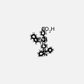 O=C(N[C@H](Cc1ccc2ccccc2c1)C(=O)N1CCC(n2c(-c3ccccc3)nc3ccccc32)CC1)C1CCN(C(=O)O)CC1